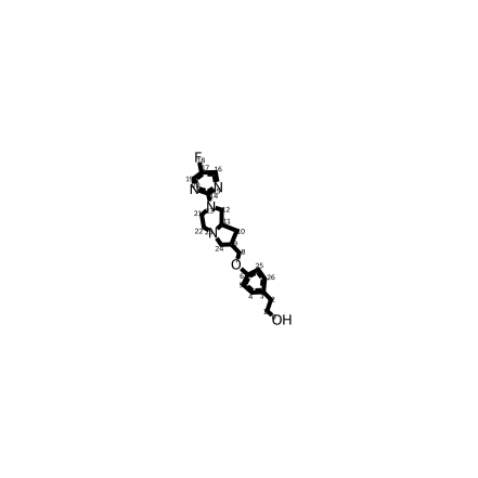 OCCc1ccc(OCC2CC3CN(c4ncc(F)cn4)CCN3C2)cc1